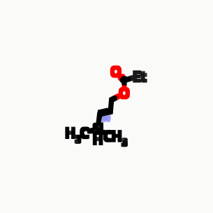 CCC(=O)OC/C=C/[SiH](C)C